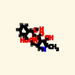 Cc1ncc(CO)c(C(O)OC(=O)c2ccccc2O)c1O